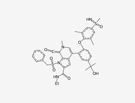 CCNC(=O)c1cc2c(n1S(=O)(=O)Cc1ccccc1)C(=C=O)N(C)C=C2c1cc(C(C)(C)O)ccc1Oc1c(C)cc(S(C)(=N)=O)cc1C